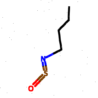 CCCCN=S=O